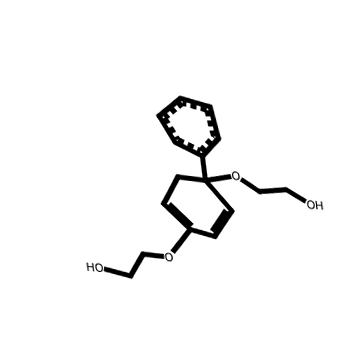 OCCOC1=CCC(OCCO)(c2ccccc2)C=C1